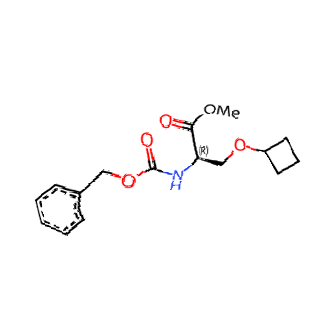 COC(=O)[C@@H](COC1CCC1)NC(=O)OCc1ccccc1